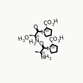 C[C@H](N)C(=O)N1CCC[C@H]1C(=O)O.C[C@H](N)C(=O)N1CCC[C@H]1C(=O)O.O